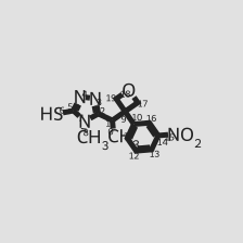 CC(c1nnc(S)n1C)C1(c2cccc([N+](=O)[O-])c2)COC1